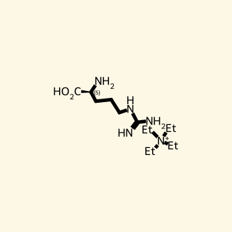 CC[N+](CC)(CC)CC.N=C(N)NCCC[C@H](N)C(=O)O